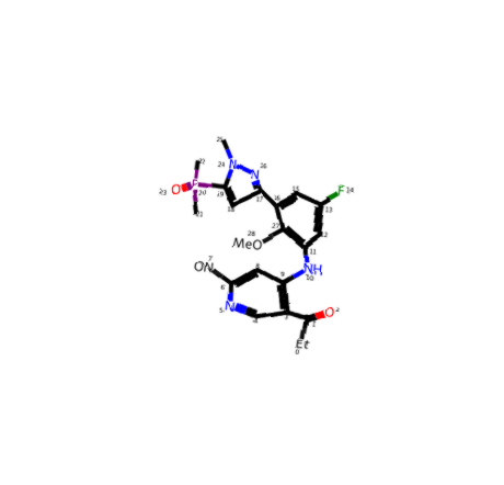 CCC(=O)c1cnc(N=O)cc1Nc1cc(F)cc(-c2cc(P(C)(C)=O)n(C)n2)c1OC